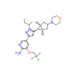 CCC(C)n1nc(-c2cnc(N)c(OCC(F)(F)F)c2)cc1[C@H]1[C@@H]2CC(N3CCOCC3)C[C@@H]21